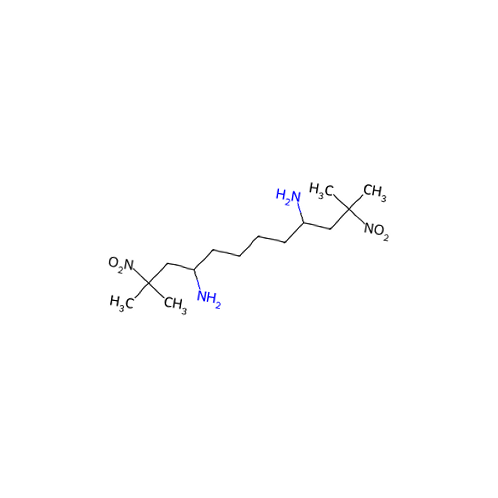 CC(C)(CC(N)CCCCC(N)CC(C)(C)[N+](=O)[O-])[N+](=O)[O-]